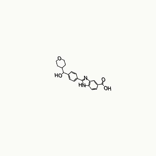 O=C(O)c1ccc2[nH]c(-c3ccc(C(O)C4CCOCC4)cc3)nc2c1